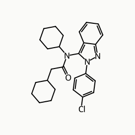 O=C(CC1CCCCC1)N(c1c2ccccc2nn1-c1ccc(Cl)cc1)C1CCCCC1